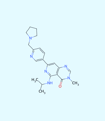 CC(C)Nc1nc(-c2ccc(CN3CCCC3)nc2)cc2ncn(C)c(=O)c12